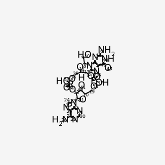 Nc1nc2c(ncn2C(CO)OC2COP(=O)(O)OCC3OC(n4cnc5c(N)ncnc54)C(OP(=O)(O)OC2)C3O)c(=O)[nH]1